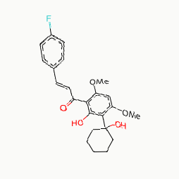 COc1cc(OC)c(C2(O)CCCCC2)c(O)c1C(=O)C=Cc1ccc(F)cc1